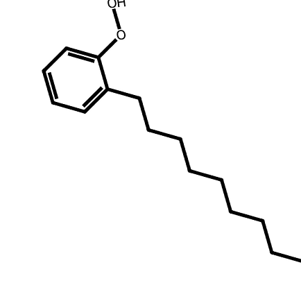 CCCCCCCCCc1ccccc1OO